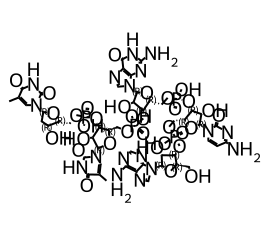 Cc1cn([C@@H]2O[C@H](COP(=O)(O)O[C@@H]3C(O)[C@H](n4cnc5c(=O)[nH]c(N)nc54)O[C@@H]3COP(=O)(O)O[C@@H]3C(O)[C@H](n4ccc(N)nc4=O)O[C@@H]3COP(=O)(O)O[C@@H]3C(O)[C@H](n4cnc5c(N)ncnc54)O[C@@H]3CO)[C@H](OP(=O)(O)OC[C@H]3O[C@@H](n4cc(C)c(=O)[nH]c4=O)C[C@H]3O)C2O)c(=O)[nH]c1=O